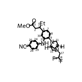 CCC(CC(=O)OC)c1ccc(N2C[C@@H]3C[C@H]2CN3CC(F)F)c(Nc2ccc(C#N)cc2)c1